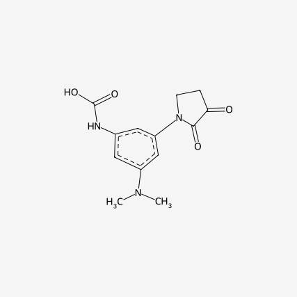 CN(C)c1cc(NC(=O)O)cc(N2CCC(=O)C2=O)c1